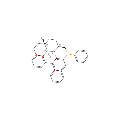 c1ccc(P(C[C@@H]2CC[C@H]3CCCC[C@@H]3[C@H]2CP(c2ccccc2)c2ccccc2)c2ccccc2)cc1